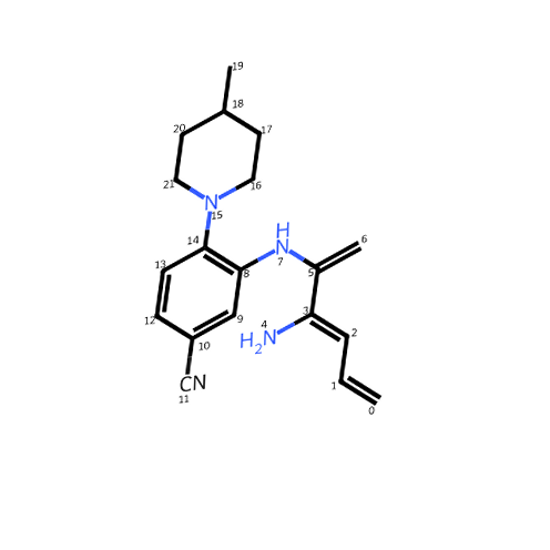 C=C/C=C(\N)C(=C)Nc1cc(C#N)ccc1N1CCC(C)CC1